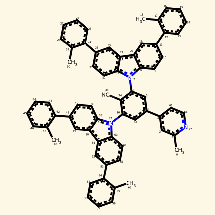 Cc1cc(-c2cc(-n3c4ccc(-c5ccccc5C)cc4c4cc(-c5ccccc5C)ccc43)c(C#N)c(-n3c4ccc(-c5ccccc5C)cc4c4cc(-c5ccccc5C)ccc43)c2)ccn1